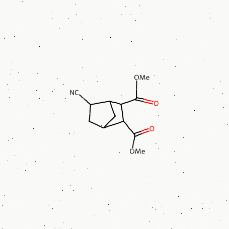 COC(=O)C1C2CC(C#N)C(C2)C1C(=O)OC